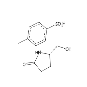 Cc1ccc(S(=O)(=O)O)cc1.O=C1CC[C@@H](CO)N1